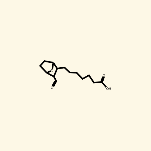 O=CC1C2CCC(O2)C1CCCCCCC(=O)O